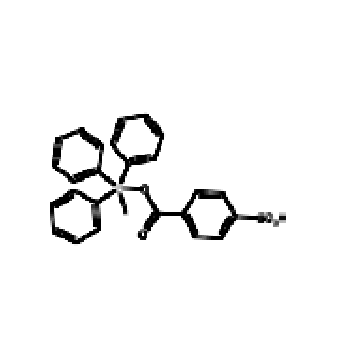 CP(OC(=O)c1ccc(S(=O)(=O)O)cc1)(c1ccccc1)(c1ccccc1)c1ccccc1